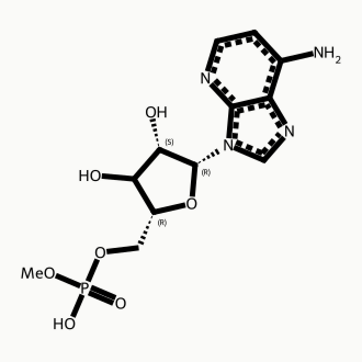 COP(=O)(O)OC[C@H]1O[C@@H](n2cnc3c(N)ccnc32)[C@@H](O)C1O